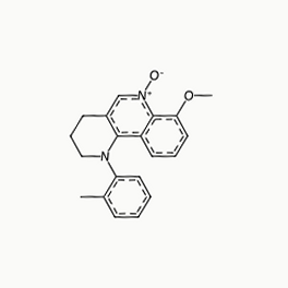 COc1cccc2c3c(c[n+]([O-])c12)CCCN3c1ccccc1C